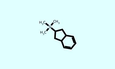 C[Si](C)(C)C1CC2C=CC=CC2C1